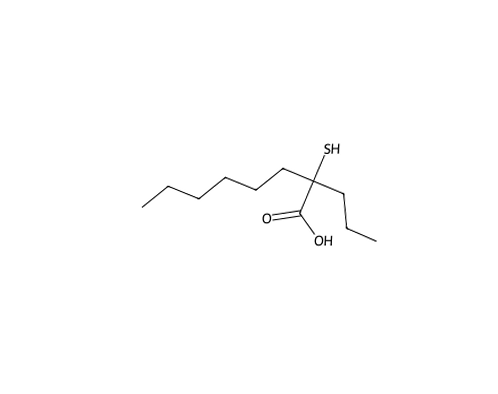 CCCCCCC(S)(CCC)C(=O)O